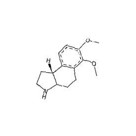 COc1ccc2c(c1OC)CCC1NCC[C@H]21